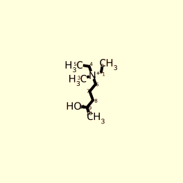 CC[N+](C)(CC)CCCC(C)O